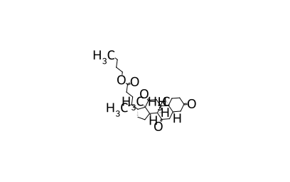 CCCCOC(=O)CC[C@H](C)[C@H]1CC[C@H]2[C@@H]3C(=O)C[C@@H]4CC(=O)CC[C@]4(C)[C@H]3CC(=O)[C@]12C